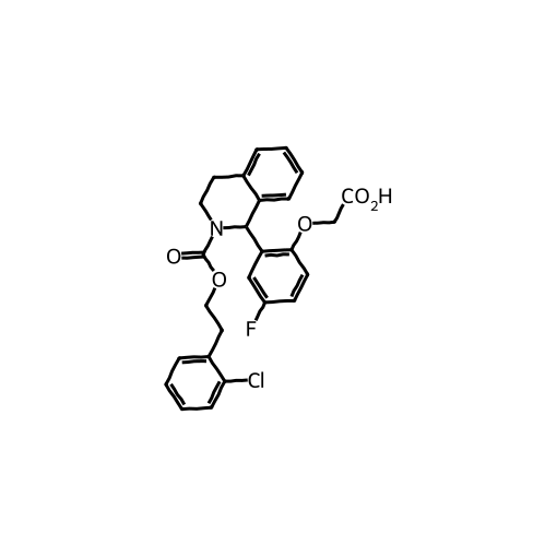 O=C(O)COc1ccc(F)cc1C1c2ccccc2CCN1C(=O)OCCc1ccccc1Cl